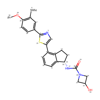 CNc1cc(-c2ncc(-c3cccc4c3CC[C@@H]4NC(=O)N3CC(O)C3)s2)ccc1OC(C)C